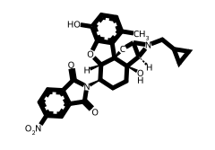 Cc1ccc(O)c2c1[C@]13CC4[C@@H](N4CC4CC4)[C@]1(O)CC[C@@H](N1C(=O)c4ccc([N+](=O)[O-])cc4C1=O)[C@@H]3O2